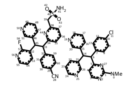 CNc1nccc(C(c2ccc(Cl)cc2)C(c2cccnc2)c2cccnc2)n1.N#Cc1ccc(C(c2cccc(CS(N)(=O)=O)n2)C(c2cccnc2)c2cccnc2F)cc1